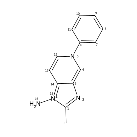 Cc1nc2cn(-c3ccccc3)ccc-2[n+]1N